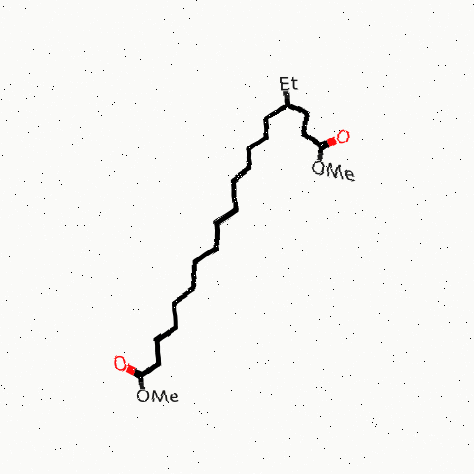 CCC(CCCCCCCCCCCCCCC(=O)OC)CCC(=O)OC